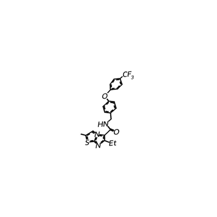 CCc1nc2sc(C)cn2c1C(=O)NCc1ccc(Oc2ccc(C(F)(F)F)cc2)cc1